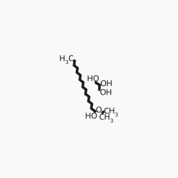 CCCCCCCCCCCCCCCC(O)OC(C)C.OCC(O)CO